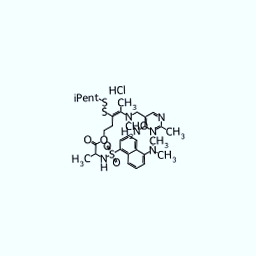 CCCC(C)SSC(CCOC(=O)C(C)NS(=O)(=O)c1cccc2c(N(C)C)cccc12)=C(C)N(C=O)Cc1cnc(C)nc1N.Cl